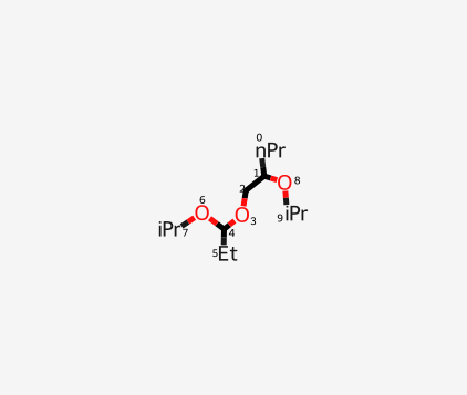 CCCC(COC(CC)OC(C)C)OC(C)C